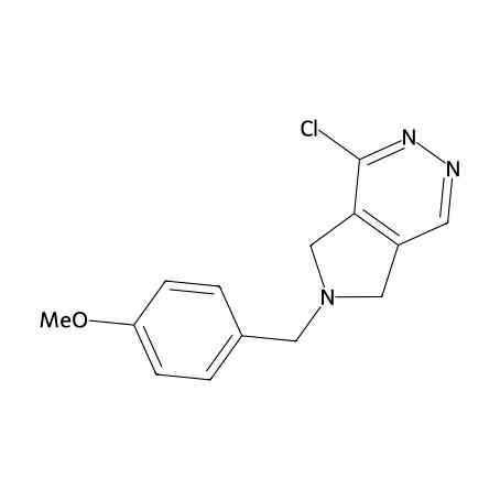 COc1ccc(CN2Cc3cnnc(Cl)c3C2)cc1